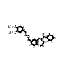 COc1ccc(CCOCc2ccc3c(c2)CN(C(=O)C2CCCCC2)CCO3)cc1OC